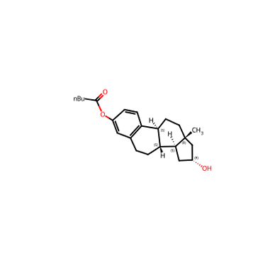 CCCCC(=O)Oc1ccc2c(c1)CC[C@@H]1[C@@H]2CC[C@]2(C)C[C@H](O)C[C@@H]12